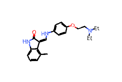 CCN(CC)CCOc1ccc(NC=C2C(=O)Nc3cccc(C)c32)cc1